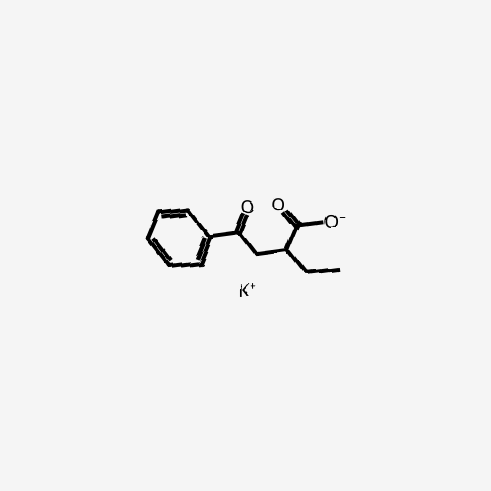 CCC(CC(=O)c1ccccc1)C(=O)[O-].[K+]